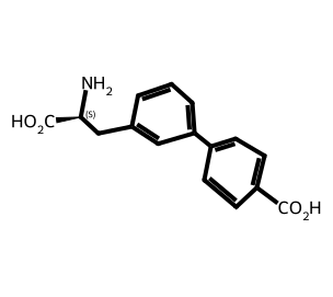 N[C@@H](Cc1cccc(-c2ccc(C(=O)O)cc2)c1)C(=O)O